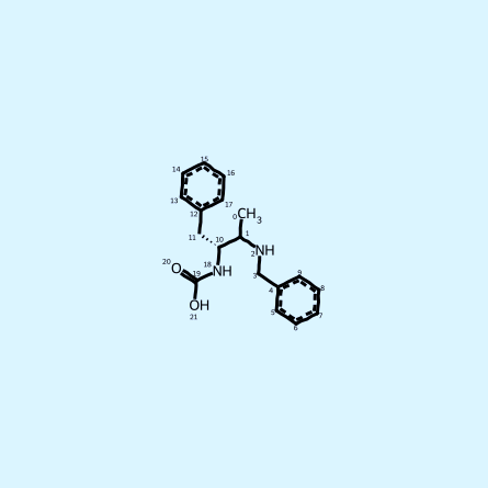 CC(NCc1ccccc1)[C@@H](Cc1ccccc1)NC(=O)O